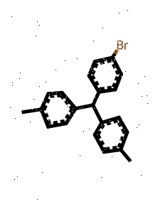 Cc1ccc([C](c2ccc(C)cc2)c2ccc(Br)cc2)cc1